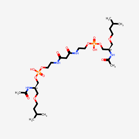 CC(=O)N[C@H](COCCC(C)C)COP(=O)(O)OCCNC(=O)CC(=O)NCCOP(=O)(O)OC[C@@H](COCCC(C)C)NC(C)=O